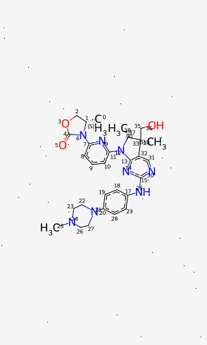 C[C@H]1COC(=O)N1c1cccc(N2c3nc(Nc4ccc(N5CCN(C)CC5)cc4)ncc3[C@](C)(CO)[C@H]2C)n1